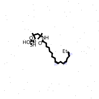 CC/C=C\C/C=C\C/C=C\CCCCCCCC(=O)NC(C)(C)CC(C)(C)OP(=O)(O)S